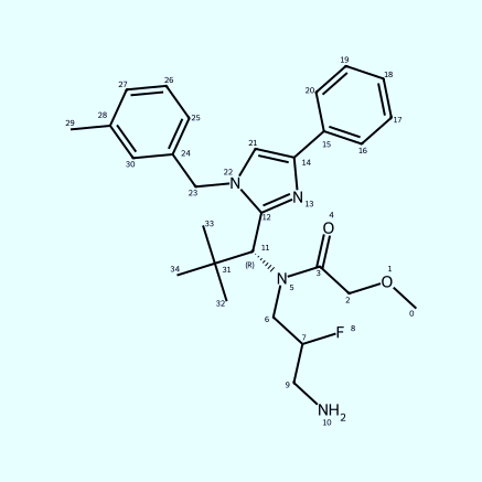 COCC(=O)N(CC(F)CN)[C@@H](c1nc(-c2ccccc2)cn1Cc1cccc(C)c1)C(C)(C)C